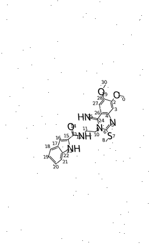 COc1cc2nc(SC)n(CCNC(=O)c3cc4ccccc4[nH]3)c(=N)c2cc1OC